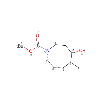 CC1CCCN(C(=O)OC(C)(C)C)CCC1O